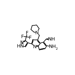 N=Cc1c(N)ccc2nc(-c3c[nH]nc3C(F)(F)F)cc(CN3CCCCC3)c12